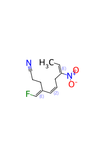 C/C=C(\C/C=C\C(=C\F)CCC#N)[N+](=O)[O-]